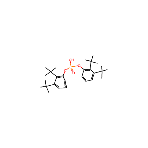 CC(C)(C)c1cccc(OP(=O)(O)Oc2cccc(C(C)(C)C)c2C(C)(C)C)c1C(C)(C)C